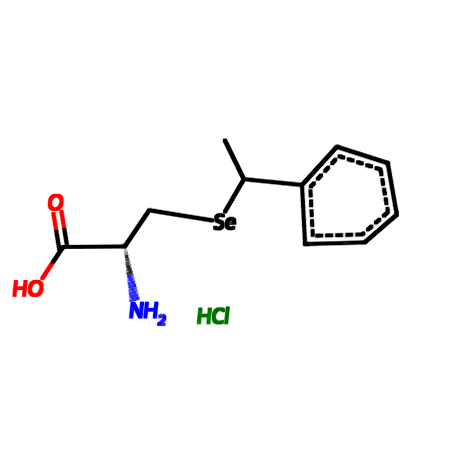 CC([Se]C[C@H](N)C(=O)O)c1ccccc1.Cl